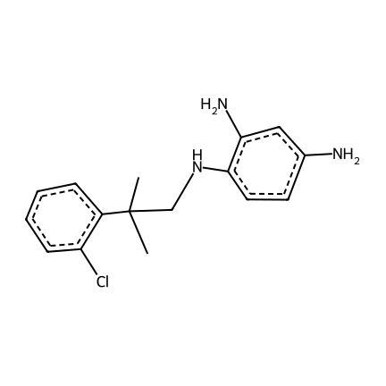 CC(C)(CNc1ccc(N)cc1N)c1ccccc1Cl